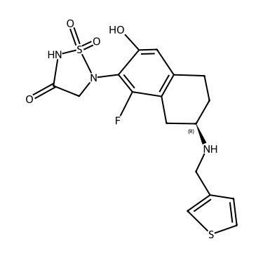 O=C1CN(c2c(O)cc3c(c2F)C[C@H](NCc2ccsc2)CC3)S(=O)(=O)N1